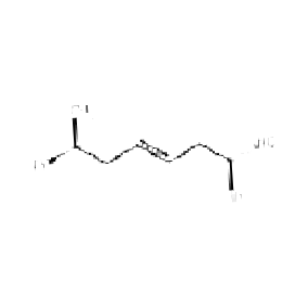 [C-]#[N+][C@@H](C/C=C/C[C@H](C)C(C)C)C(C)C